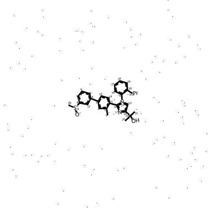 Cc1cc(-c2cccc([S+](C)[O-])c2)ccc1-c1nc(C(C)(C)O)cn1-c1ccccc1C(C)C